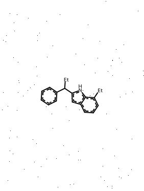 [CH2]CC(c1ccccc1)c1cc2cccc(CC)c2[nH]1